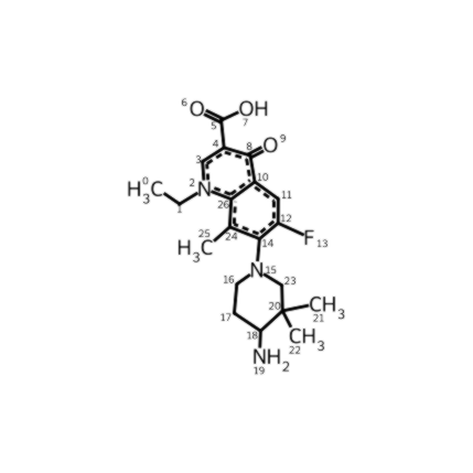 CCn1cc(C(=O)O)c(=O)c2cc(F)c(N3CCC(N)C(C)(C)C3)c(C)c21